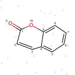 O=c1[c][c]c2ccccc2o1